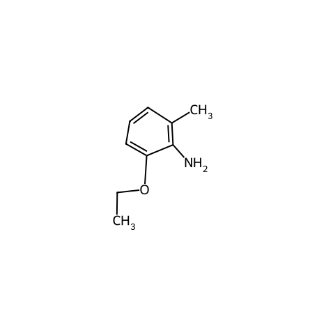 CCOc1cccc(C)c1N